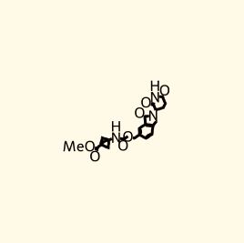 COC(=O)C12CC(NC(=O)OCc3ccc4c(c3)C(=O)N(C3CCC(=O)NC3=O)C4)(C1)C2